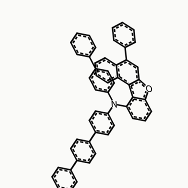 c1ccc(-c2ccc(-c3ccc(N(c4ccc(-c5ccccc5)cc4)c4cccc5oc6cc(-c7ccccc7)c7ccccc7c6c45)cc3)cc2)cc1